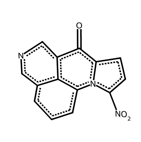 O=c1c2cncc3cccc(c32)n2c([N+](=O)[O-])ccc12